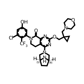 O=C1c2nc(OCC3(CN4CCOCC4)CC3)nc(N3C[C@H]4CC[C@@H](C3)N4)c2CCN1c1cc(O)cc(Cl)c1C(F)(F)F